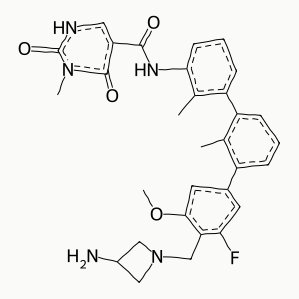 COc1cc(-c2cccc(-c3cccc(NC(=O)c4c[nH]c(=O)n(C)c4=O)c3C)c2C)cc(F)c1CN1CC(N)C1